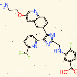 NCCOc1cnc2ccc(-c3[nH]c(CNc4cc(C(=O)O)ccc4F)nc3-c3cccc(C(F)F)n3)cc2c1